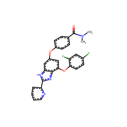 CN(C)C(=O)c1ccc(Oc2cc(Oc3ccc(F)cc3F)c3nc(-c4ccccn4)[nH]c3c2)cc1